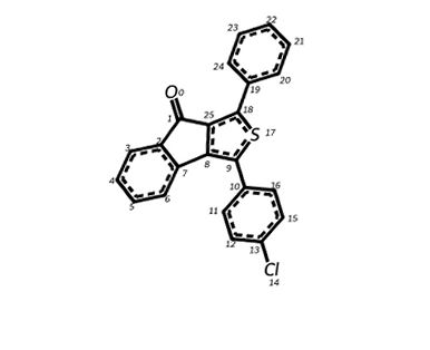 O=C1c2ccccc2-c2c(-c3ccc(Cl)cc3)sc(-c3ccccc3)c21